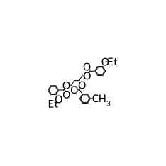 CCOc1cccc(C(=O)OCC(CCOC(=O)c2ccccc2OCC)OC(=O)c2cccc(C)c2)c1